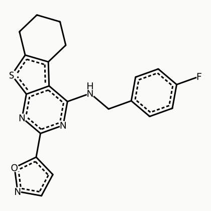 Fc1ccc(CNc2nc(-c3ccno3)nc3sc4c(c23)CCCC4)cc1